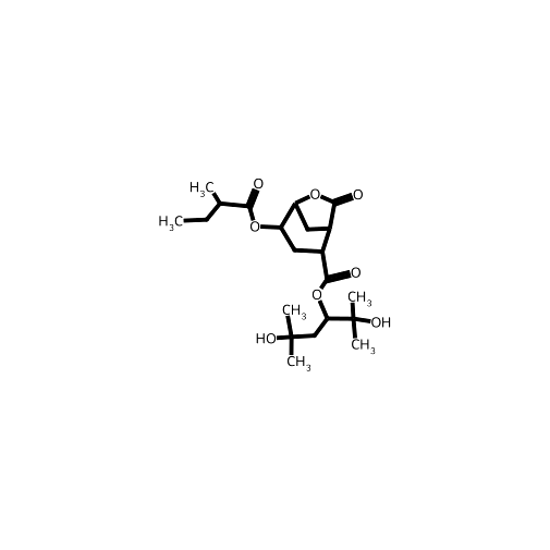 CCC(C)C(=O)OC1CC(C(=O)OC(CC(C)(C)O)C(C)(C)O)C2CC1OC2=O